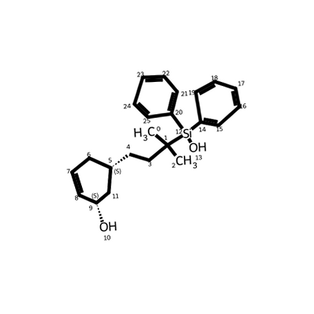 CC(C)(CC[C@H]1CC=C[C@@H](O)C1)[Si](O)(c1ccccc1)c1ccccc1